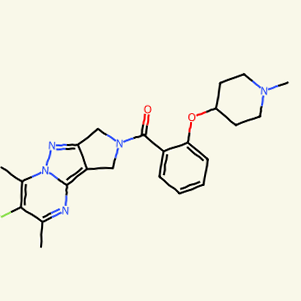 Cc1nc2c3c(nn2c(C)c1F)CN(C(=O)c1ccccc1OC1CCN(C)CC1)C3